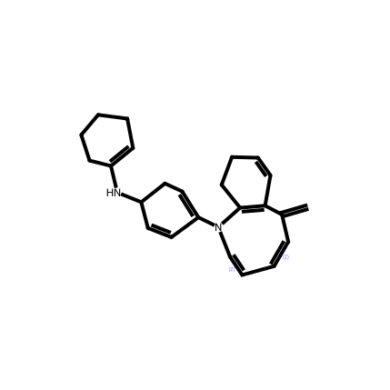 C=C1/C=C\C=C/N(C2=CCC(NC3=CCCCC3)C=C2)C2=C1C=CCC2